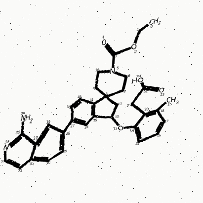 CCOC(=O)N1CCC2(CC1)CC(Oc1cccc(C)c1CC(=O)O)c1cc(-c3ccc4ccnc(N)c4c3)ccc12